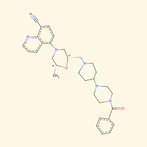 C[C@@H]1CN(c2ccc(C#N)c3ncccc23)C[C@H](CN2CCC(N3CCN(C(=O)c4ccccc4)CC3)CC2)O1